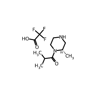 CC(C)C(=O)N1CCNC[C@@H]1C.O=C(O)C(F)(F)F